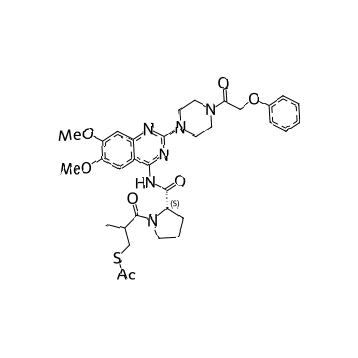 COc1cc2nc(N3CCN(C(=O)COc4ccccc4)CC3)nc(NC(=O)[C@@H]3CCCN3C(=O)C(C)CSC(C)=O)c2cc1OC